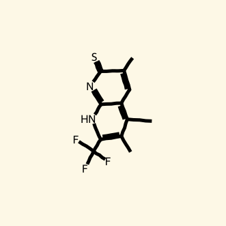 Cc1c2cc(C)c(=S)nc-2[nH]c(C(F)(F)F)c1C